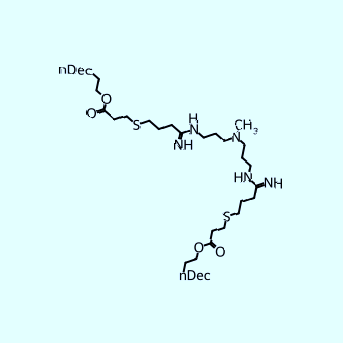 CCCCCCCCCCCCOC(=O)CCSCCCC(=N)NCCCN(C)CCCNC(=N)CCCSCCC(=O)OCCCCCCCCCCCC